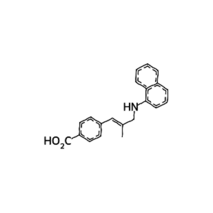 CC(=Cc1ccc(C(=O)O)cc1)CNc1cccc2ccccc12